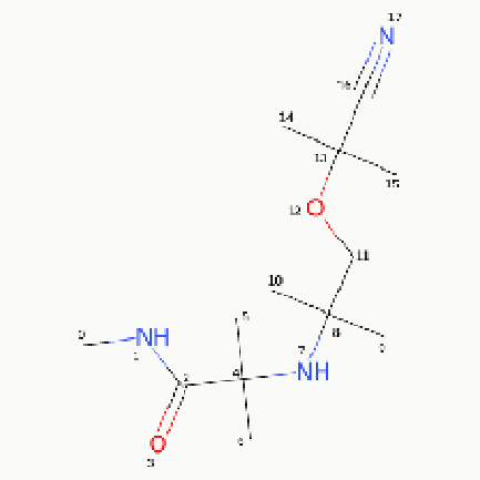 CNC(=O)C(C)(C)NC(C)(C)COC(C)(C)C#N